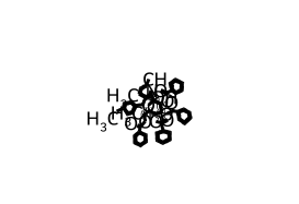 CCc1ccc(Cc2c(C)cc(C)nc2[C@@]2(O)O[C@H]([C@H](C)OC(=O)c3ccccc3)[C@@H](OC(=O)c3ccccc3)[C@H](OC(=O)c3ccccc3)[C@H]2OC(=O)c2ccccc2)cc1